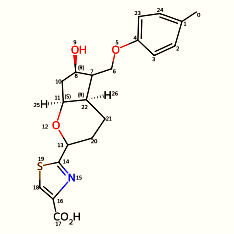 Cc1ccc(OCC2[C@H](O)C[C@@H]3OC(c4nc(C(=O)O)cs4)CC[C@H]23)cc1